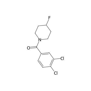 O=C(c1ccc(Cl)c(Cl)c1)N1CCC(F)CC1